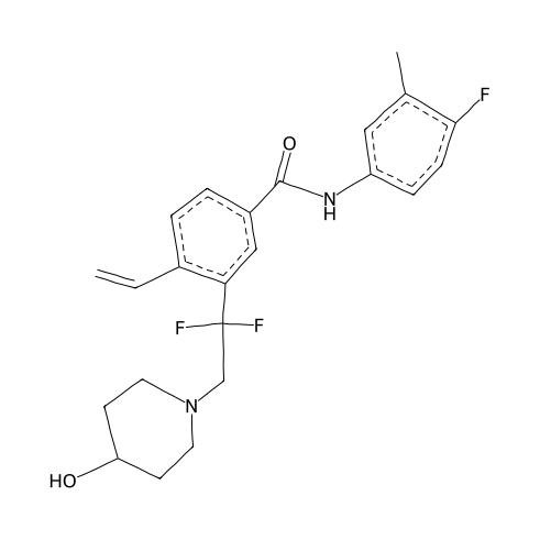 C=Cc1ccc(C(=O)Nc2ccc(F)c(C)c2)cc1C(F)(F)CN1CCC(O)CC1